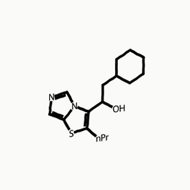 CCCc1sc2cncn2c1C(O)CC1CCCCC1